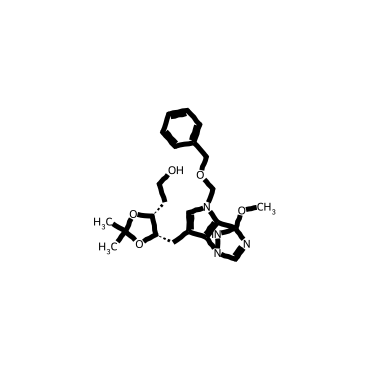 COC12N=CN(N1)c1c(C[C@@H]3OC(C)(C)O[C@@H]3CCO)cn(COCc3ccccc3)c12